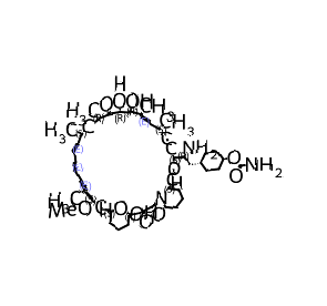 CO[C@H]1C[C@@H]2CCC[C@@](O)(O2)C(=O)C(=O)N2CCCC[C@H]2CO[C@H]([C@H](N)C[C@H]2CC[C@H](OC(N)=O)CC2)CC[C@H](C)/C=C(\C)[C@@H](O)[C@@H](O)C(=O)[C@H](C)C[C@H](C)/C=C/C=C/C=C/1C